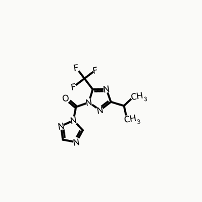 CC(C)c1nc(C(F)(F)F)n(C(=O)n2cncn2)n1